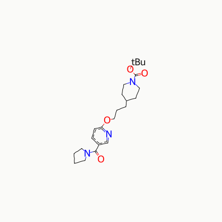 CC(C)(C)OC(=O)N1CCC(CCCOc2ccc(C(=O)N3CCCC3)cn2)CC1